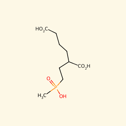 CP(=O)(O)CCC(CCCC(=O)O)C(=O)O